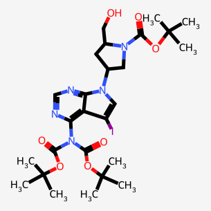 CC(C)(C)OC(=O)N(C(=O)OC(C)(C)C)c1ncnc2c1c(I)cn2C1CC(CO)N(C(=O)OC(C)(C)C)C1